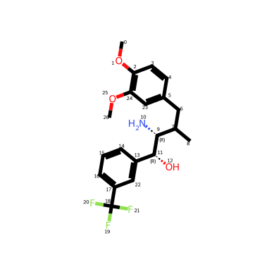 COc1ccc(CC(C)[C@@H](N)[C@H](O)c2cccc(C(F)(F)F)c2)cc1OC